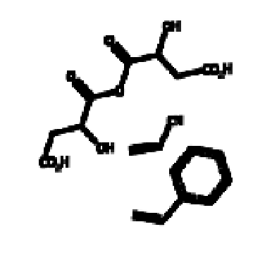 C=CC#N.C=Cc1ccccc1.O=C(O)CC(O)C(=O)OC(=O)C(O)CC(=O)O